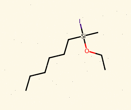 CCCCCC[Si](C)(I)OCC